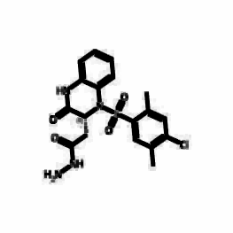 Cc1cc(S(=O)(=O)N2c3ccccc3NC(=O)[C@H]2CC(=O)NN)c(C)cc1Cl